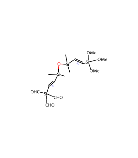 CO[Si](/C=C/[Si](C)(C)O[Si](C)(C)/C=C/[Si](C=O)(C=O)C=O)(OC)OC